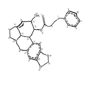 O=C(CSc1ccccc1)OC1C(O)C=C2CCN3Cc4cc5c(cc4C1C23)OCO5